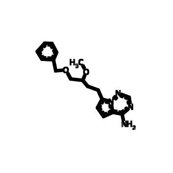 COC(CCc1ccc2c(N)ncnn12)COCc1ccccc1